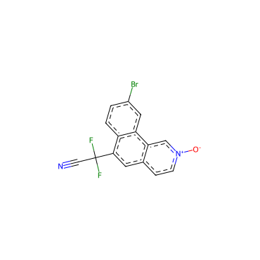 N#CC(F)(F)c1cc2cc[n+]([O-])cc2c2cc(Br)ccc12